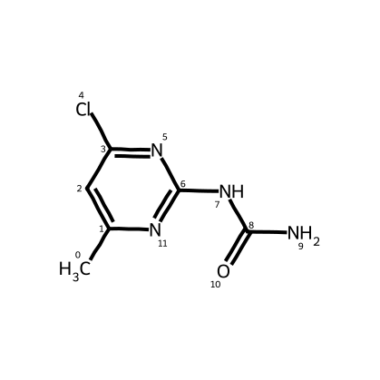 Cc1cc(Cl)nc(NC(N)=O)n1